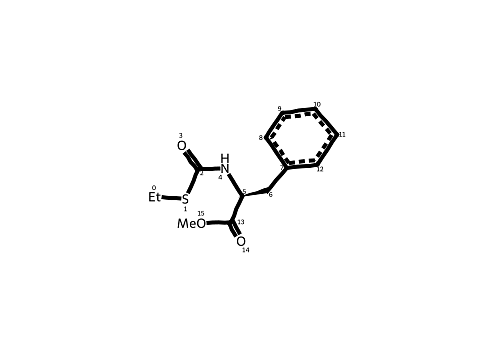 CCSC(=O)N[C@@H](Cc1ccccc1)C(=O)OC